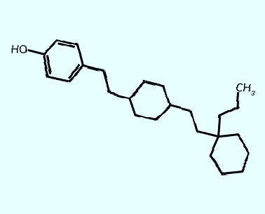 CCCC1(CCC2CCC(CCc3ccc(O)cc3)CC2)CCCCC1